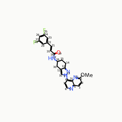 COc1ccc2nccc(-n3cc4c(n3)CCC(NC(=O)/C=C/c3cc(F)cc(F)c3)C4)c2n1